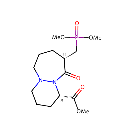 COC(=O)[C@@H]1CCCN2CCC[C@H](CP(=O)(OC)OC)C(=O)N12